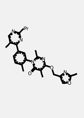 Cc1nc(COc2nc(C)n(-c3cc(-c4nc(C(C)C)ncc4C)ccc3C)c(=O)c2C)co1